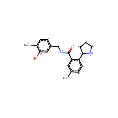 COc1ccc(CNC(=O)c2cc([N+](=O)[O-])ccc2C2CCCN2)cc1O